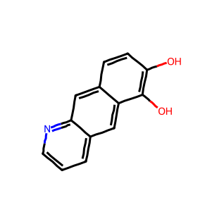 Oc1ccc2cc3ncccc3cc2c1O